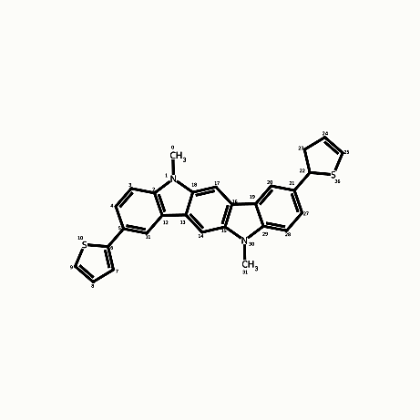 Cn1c2ccc(-c3cccs3)cc2c2cc3c(cc21)c1cc(C2CC=CS2)ccc1n3C